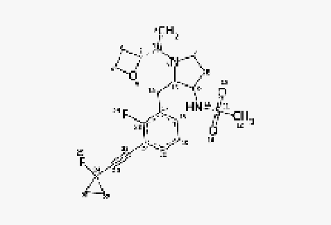 C=C([C@H]1CCO1)N1CCC(NS(C)(=O)=O)C1Cc1cccc(C#CC2(F)CC2)c1F